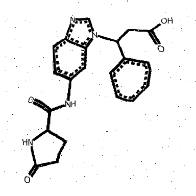 O=C(O)CC(c1ccccc1)n1cnc2ccc(NC(=O)C3CCC(=O)N3)cc21